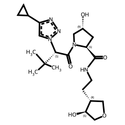 CC(C)(C)[C@@H](C(=O)N1C[C@H](O)C[C@H]1C(=O)NCC[C@@H]1COC[C@H]1O)n1cc(C2CC2)nn1